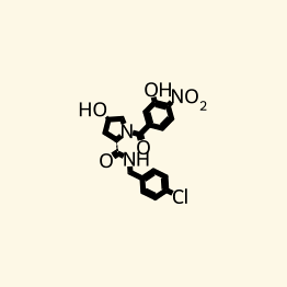 O=C(NCc1ccc(Cl)cc1)[C@@H]1C[C@@H](O)CN1C(=O)c1ccc([N+](=O)[O-])c(O)c1